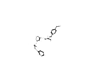 CCc1oc(-c2ccc(CC(C)C)cc2)nc1CO[C@H]1CCC[C@@H](COC(C)(Cc2ccccc2)C(=O)O)C1